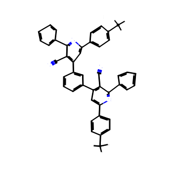 CC(C)(C)c1ccc(-c2cc(-c3cccc(-c4cc(-c5ccc(C(C)(C)C)cc5)nc(-c5ccccc5)c4C#N)c3)c(C#N)c(-c3ccccc3)n2)cc1